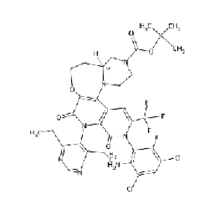 CCc1ncnc(CC)c1-n1c(=O)c2c(c3cc(C(F)(F)F)n(-c4c(N)c(Cl)cc(Cl)c4F)c(=O)c31)N1CCN(C(=O)OC(C)(C)C)C[C@@H]1CCO2